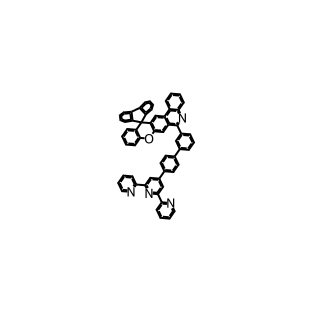 c1ccc(-c2cc(-c3ccc(-c4cccc(-c5nc6ccccc6c6cc7c(cc56)Oc5ccccc5C75c6ccccc6-c6ccccc65)c4)cc3)cc(-c3ccccn3)n2)nc1